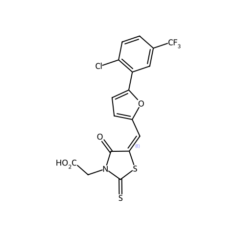 O=C(O)CN1C(=O)/C(=C\c2ccc(-c3cc(C(F)(F)F)ccc3Cl)o2)SC1=S